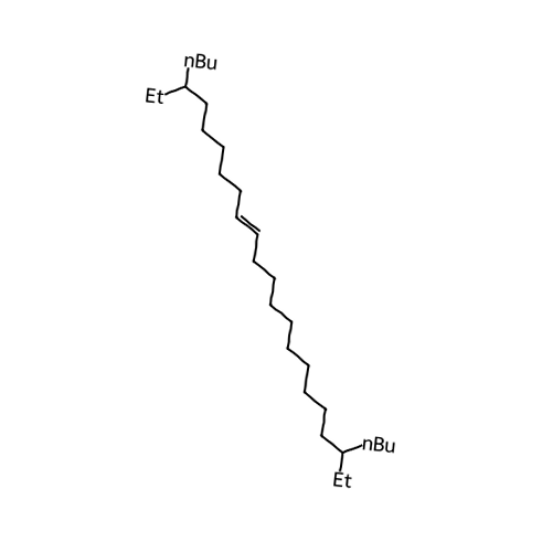 [CH2]CCCC(CC)CCCCCC=CCCCCCCCCCC(CC)CCC[CH2]